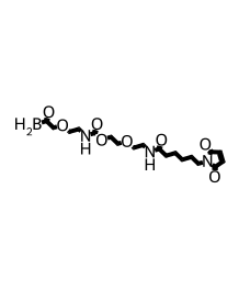 BC(=O)COCCNC(=O)OCCOCCNC(=O)CCCCCN1C(=O)C=CC1=O